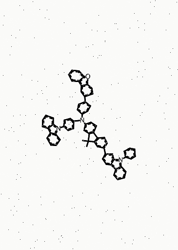 CC1(C)c2cc(-c3ccc4c5ccccc5n(-c5ccccc5)c4c3)ccc2-c2ccc(N(c3ccc(-c4ccc5oc6ccccc6c5c4)cc3)c3ccc(-n4c5ccccc5c5ccccc54)cc3)cc21